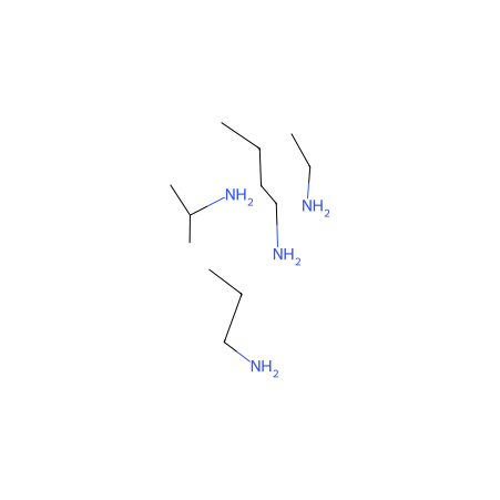 CC(C)N.CCCCN.CCCN.CCN